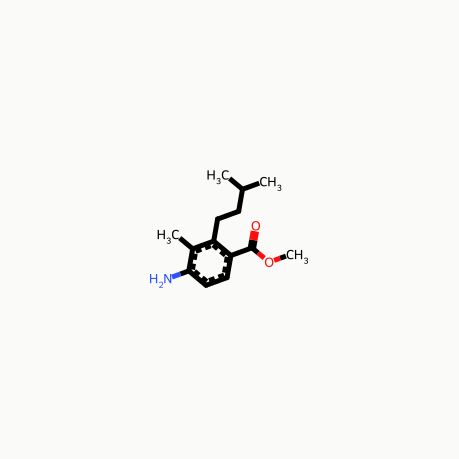 COC(=O)c1ccc(N)c(C)c1CCC(C)C